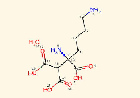 NCCCC[C@](N)(C(=O)O)C(C(=O)O)C(=O)O.O